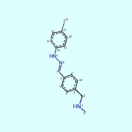 CNCc1ccc(C=NNc2ccc(I)cc2)cc1